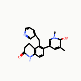 CC1=CC(c2ccc3c(c2Cc2cccnc2)CCC(=O)N3)=CN(C)C1O